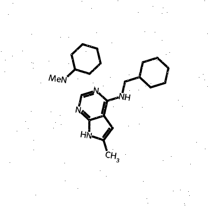 CNC1CCCCC1.Cc1cc2c(NCC3CCCCC3)ncnc2[nH]1